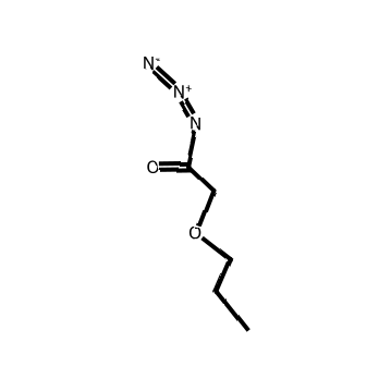 CCCOCC(=O)N=[N+]=[N-]